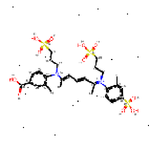 C\C(=C/C=C/C(C)=[N+](\CCCS(=O)(=O)O)c1ccc(S(=O)(=O)O)cc1C)N(CCCS(=O)(=O)O)c1ccc(C(=O)O)cc1C